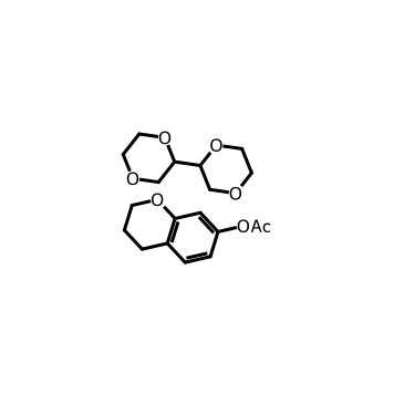 C1COC(C2COCCO2)CO1.CC(=O)Oc1ccc2c(c1)OCCC2